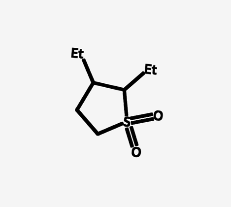 CCC1CCS(=O)(=O)C1CC